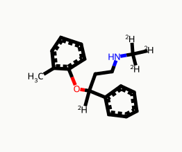 [2H]C([2H])([2H])NCCC([2H])(Oc1ccccc1C)c1ccccc1